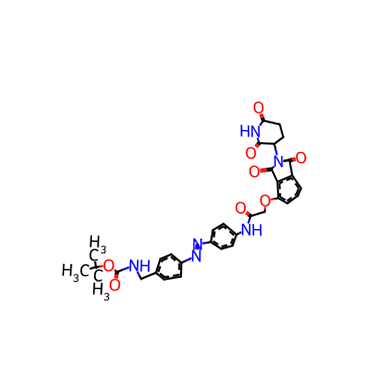 CC(C)(C)OC(=O)NCc1ccc(/N=N/c2ccc(NC(=O)COc3cccc4c3C(=O)N(C3CCC(=O)NC3=O)C4=O)cc2)cc1